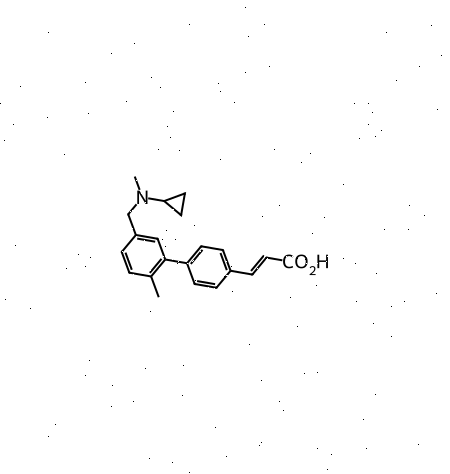 Cc1ccc(CN(C)C2CC2)cc1-c1ccc(/C=C/C(=O)O)cc1